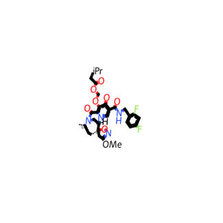 COC1=NO[C@@]2(CC[C@H](C)N3C[C@H]2n2cc(C(=O)NCc4ccc(F)cc4F)c(=O)c(OCOC(=O)CC(C)C)c2C3=O)C1